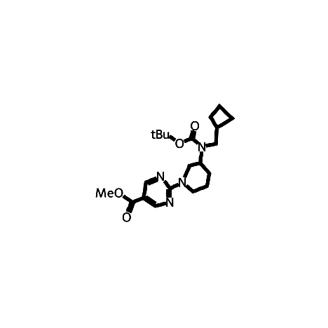 COC(=O)c1cnc(N2CCCC(N(CC3CCC3)C(=O)OC(C)(C)C)C2)nc1